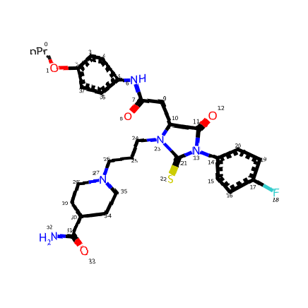 CCCOc1ccc(NC(=O)CC2C(=O)N(c3ccc(F)cc3)C(=S)N2CCCN2CCC(C(N)=O)CC2)cc1